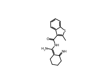 Cc1sc2ccccc2c1C(=O)N/C(N)=C1/CCCCC1=N